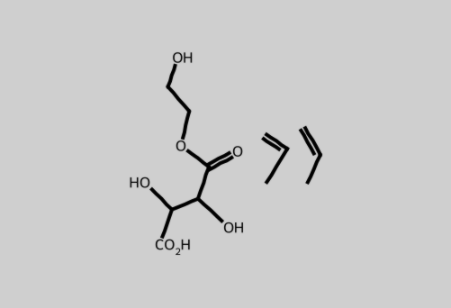 C=CC.C=CC.O=C(O)C(O)C(O)C(=O)OCCO